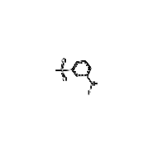 CS(=O)(=O)c1cccc(NF)c1